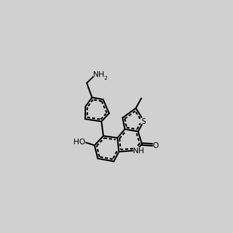 Cc1cc2c(s1)c(=O)[nH]c1ccc(O)c(-c3ccc(CN)cc3)c12